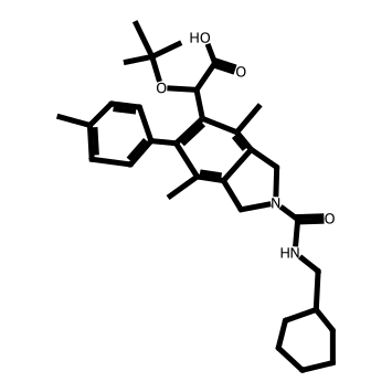 Cc1ccc(-c2c(C)c3c(c(C)c2C(OC(C)(C)C)C(=O)O)CN(C(=O)NCC2CCCCC2)C3)cc1